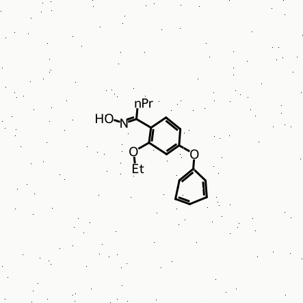 CCCC(=NO)c1ccc(Oc2ccccc2)cc1OCC